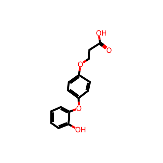 O=C(O)CCOc1ccc(Oc2ccccc2O)cc1